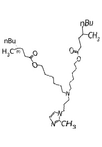 CCCCC(C)CCC(=O)OCCCCCCN(CCCCCCOC(=O)CC[C@H](C)CCCC)CCCn1ccnc1C